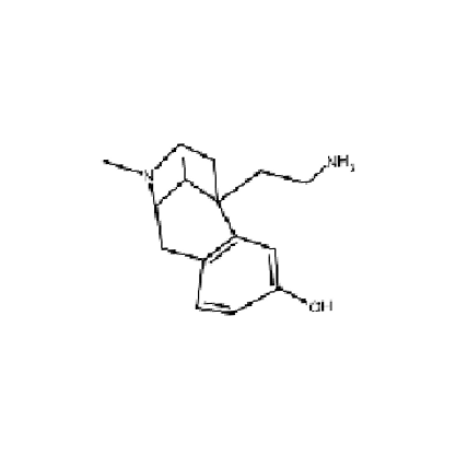 CC1C2Cc3ccc(O)cc3C1(CCN)CCN2C